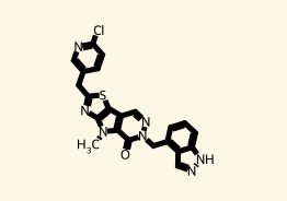 Cn1c2nc(Cc3ccc(Cl)nc3)sc2c2cnn(Cc3cccc4[nH]ncc34)c(=O)c21